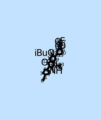 C#Cc1ccc2c(c1)[nH]c1c2c(=O)c2cc(OCC(C)C)c(-c3cccc(OS(=O)(=O)F)c3)cc2n1C1CC1